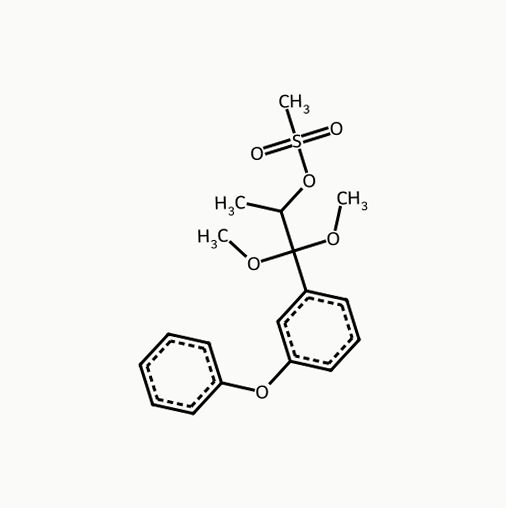 COC(OC)(c1cccc(Oc2ccccc2)c1)C(C)OS(C)(=O)=O